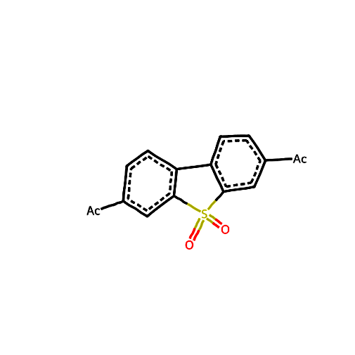 CC(=O)c1ccc2c(c1)S(=O)(=O)c1cc(C(C)=O)ccc1-2